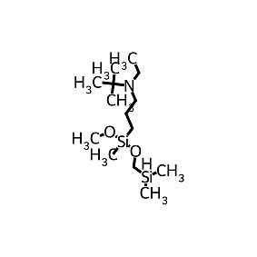 CCN(CCC[Si](C)(OC)OC[SiH](C)C)C(C)(C)C